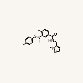 Cc1ccc(SNc2cc(C(=O)NCc3ccnn3C)ccc2C)cc1